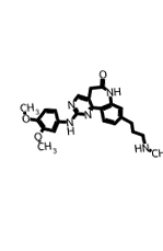 CNCCCc1ccc2c(c1)NC(=O)Cc1cnc(Nc3ccc(OC)c(OC)c3)nc1-2